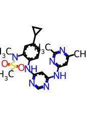 Cc1cc(Nc2cc(Nc3ccc(C4CC4)cc3N(C)S(C)(=O)=O)ncn2)nc(C)n1